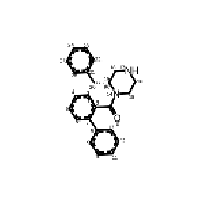 O=C(c1ccccc1-c1ccccc1)N1CCNC[C@H]1Cc1ccccc1